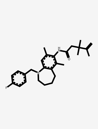 C=C(C)C(C)(C)CC(=O)Nc1c(C)cc2c(c1C)CCCCN2Cc1ccc(F)cc1